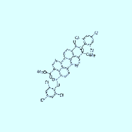 COC(=O)c1cnc2c3ccc(C(=O)Oc4c(Cl)cc(Cl)cc4Cl)c4c(C(=O)OC)cnc(c5ccc(C(=O)Oc6c(Cl)cc(Cl)cc6Cl)c1c52)c43